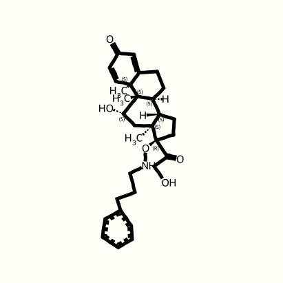 C[C@]12[C@@H](O)C[C@@]3(C)[C@@H](CC[C@]3(ONCCCc3ccccc3)C(=O)CO)[C@@H]1CCC1=CC(=O)C=C[C@@]12C